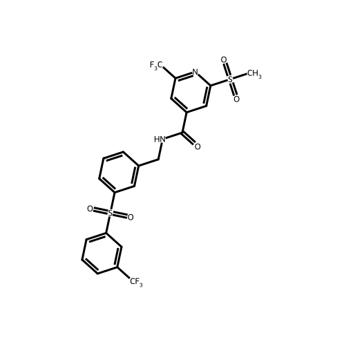 CS(=O)(=O)c1cc(C(=O)NCc2cccc(S(=O)(=O)c3cccc(C(F)(F)F)c3)c2)cc(C(F)(F)F)n1